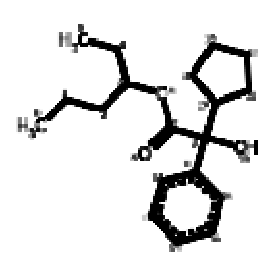 CCCC(CC)OC(=O)C(O)(c1ccccc1)C1CCCC1